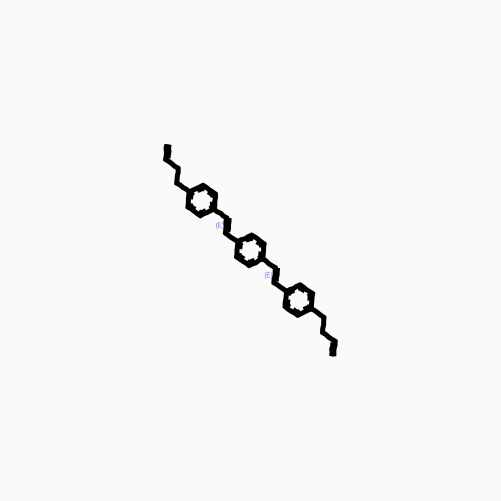 C=CCCc1ccc(/C=C/c2ccc(/C=C/c3ccc(CCC=C)cc3)cc2)cc1